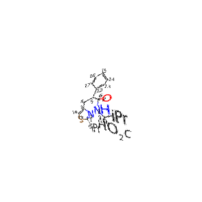 CC(C)c1nc(CC(C(=O)N[C@H](C(=O)O)C(C)C)c2ccccc2)cs1